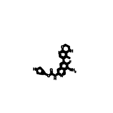 Cc1c(-c2cc3cc(NC(=O)OC4C5CNCC54)ncc3c(N)c2F)cnc2c1NCCO2